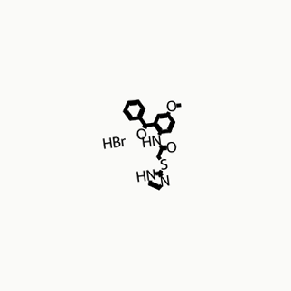 Br.COc1ccc(NC(=O)CSc2ncc[nH]2)c(C(=O)c2ccccc2)c1